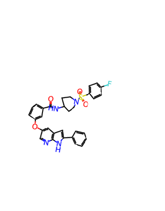 O=C(NC1CCN(S(=O)(=O)c2ccc(F)cc2)CC1)c1cccc(Oc2cnc3[nH]c(-c4ccccc4)cc3c2)c1